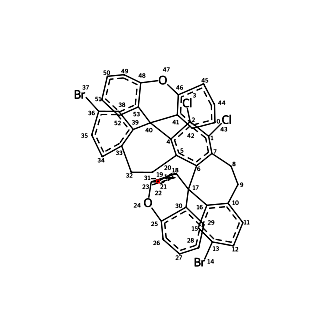 Clc1c(Cl)c2c(c3c1CCc1ccc(Br)cc1C31c3ccccc3Oc3ccccc31)CCc1ccc(Br)cc1C21c2ccccc2Oc2ccccc21